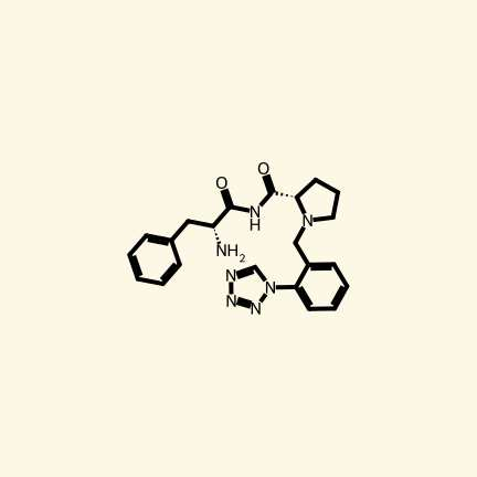 N[C@H](Cc1ccccc1)C(=O)NC(=O)[C@@H]1CCCN1Cc1ccccc1-n1cnnn1